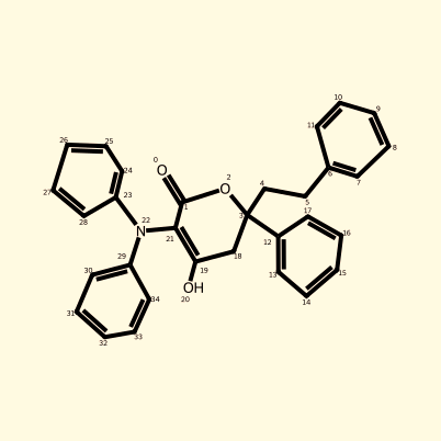 O=C1OC(CCc2ccccc2)(c2ccccc2)CC(O)=C1N(c1ccccc1)c1ccccc1